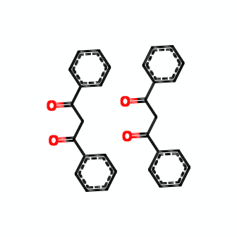 O=C(CC(=O)c1ccccc1)c1ccccc1.O=C(CC(=O)c1ccccc1)c1ccccc1